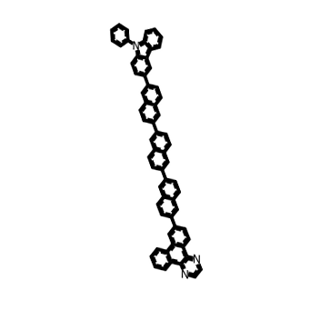 c1ccc(-n2c3ccccc3c3cc(-c4ccc5cc(-c6ccc7cc(-c8ccc9cc(-c%10ccc%11c(c%10)c%10ccccc%10c%10nccnc%11%10)ccc9c8)ccc7c6)ccc5c4)ccc32)cc1